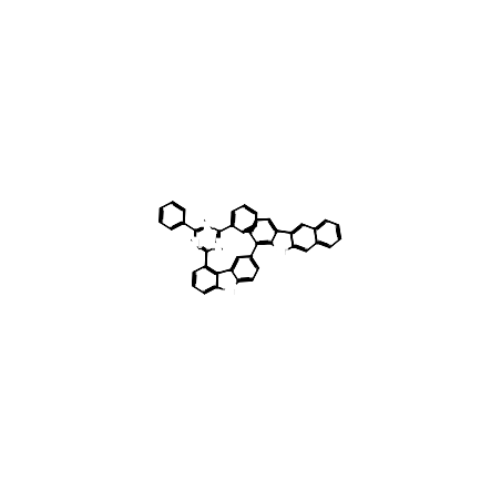 c1ccc(-c2nc(-c3ccccc3)nc(-c3cccc4oc5ccc(-c6cccc7c6oc6cc8ccccc8cc67)cc5c34)n2)cc1